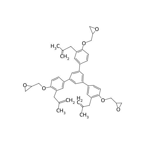 C=C(C)Cc1cc(-c2cc(-c3ccc(OCC4CO4)c(CC(=C)C)c3)cc(-c3ccc(OCC4CO4)c(CC(=C)C)c3)c2)ccc1OCC1CO1